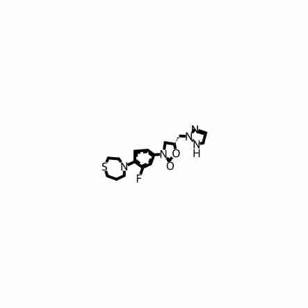 O=C1O[C@@H](CN2N=CCN2)CN1c1ccc(N2CCCSCC2)c(F)c1